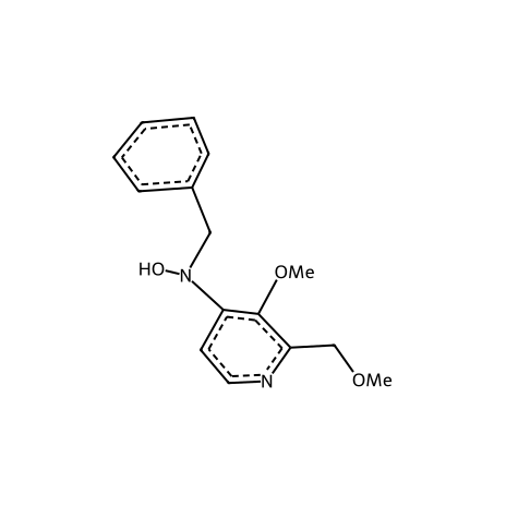 COCc1nccc(N(O)Cc2ccccc2)c1OC